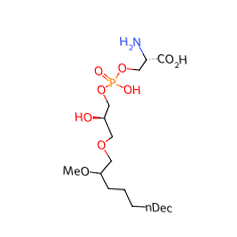 CCCCCCCCCCCCCC(COC[C@@H](O)COP(=O)(O)OC[C@H](N)C(=O)O)OC